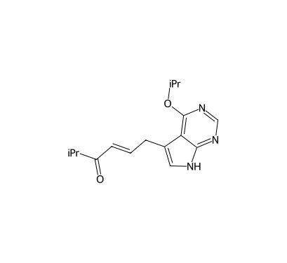 CC(C)Oc1ncnc2[nH]cc(CC=CC(=O)C(C)C)c12